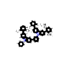 Cc1cccc(C)c1-c1ccc2c(c1)c1cc(-c3cccc(-n4c5ccc(-c6c(C)cccc6C)cc5c5cc(-c6c(C)cccc6C)ccc54)c3)ccc1n2-c1ccccc1